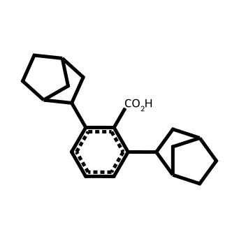 O=C(O)c1c(C2CC3CCC2C3)cccc1C1CC2CCC1C2